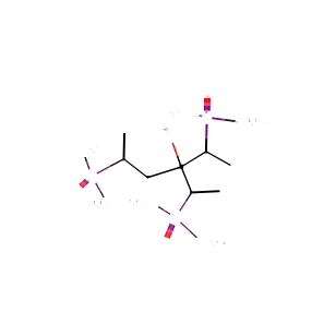 COP(=O)(OC)C(C)CC(O[SiH3])(C(C)P(=O)(OC)OC)C(C)P(=O)(OC)OC